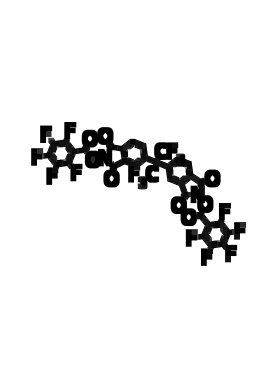 O=C(ON1C(=O)c2ccc(C(c3ccc4c(c3)C(=O)N(OC(=O)c3c(F)c(F)c(F)c(F)c3F)C4=O)(C(F)(F)F)C(F)(F)F)cc2C1=O)c1c(F)c(F)c(F)c(F)c1F